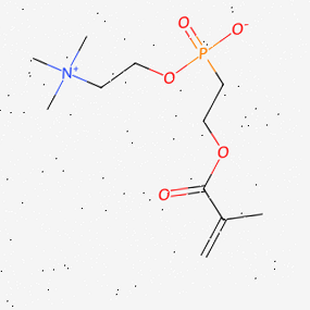 C=C(C)C(=O)OCCP(=O)([O-])OCC[N+](C)(C)C